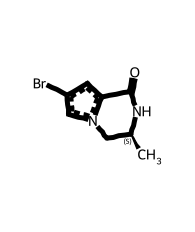 C[C@H]1Cn2cc(Br)cc2C(=O)N1